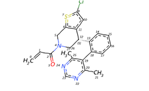 C=CC(=O)N1Cc2sc(Cl)cc2[C@H](c2ccccc2-c2c(C)ncnc2C)C1